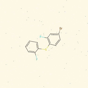 Fc1ccccc1Sc1ccc(Br)cc1F